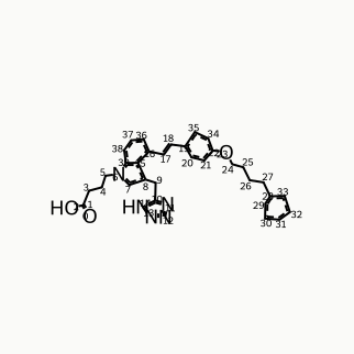 O=C(O)CCCn1cc(Cc2nnn[nH]2)c2c(C=Cc3ccc(OCCCCc4ccccc4)cc3)cccc21